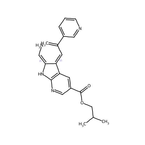 C=C(/C=c1\c(=C/N)[nH]c2ncc(C(=O)OCC(C)C)cc12)c1cccnc1